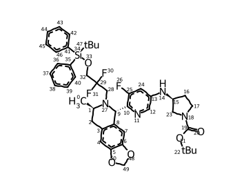 C[C@@H]1Cc2cc3c(cc2[C@@H](c2ncc(N[C@H]4CCN(C(=O)OC(C)(C)C)C4)cc2F)N1CC(F)(F)CO[Si](c1ccccc1)(c1ccccc1)C(C)(C)C)OCO3